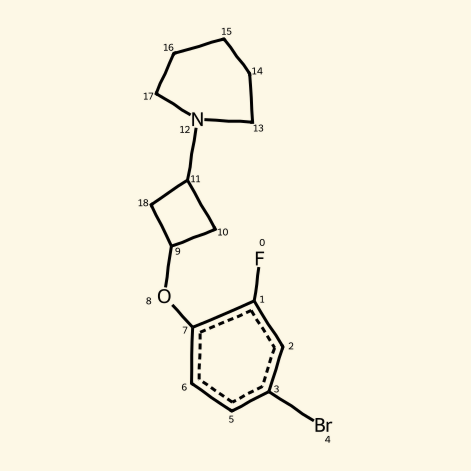 Fc1cc(Br)ccc1OC1CC(N2CCCCC2)C1